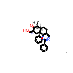 C[C@@H]1C(=O)/C(=C\O)C[C@]2(c3ccccc3)c3nc(-c4ccccc4)ncc3CC[C@@H]12